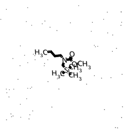 CCCCN(C[Si](C)(C)C)C(=O)OC